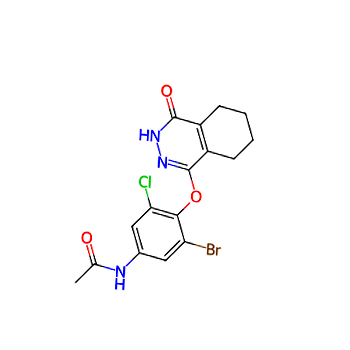 CC(=O)Nc1cc(Cl)c(Oc2n[nH]c(=O)c3c2CCCC3)c(Br)c1